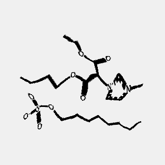 CCCCCCCCOS(=O)(=O)[O-].CCCCOC(=O)C(C(=O)OCC)[n+]1ccn(C)c1